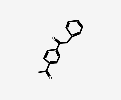 CC(=O)c1ccc(C(=O)Cc2ccccc2)cc1